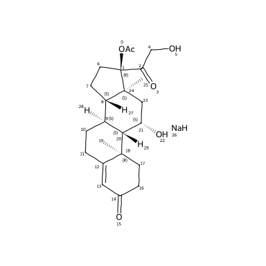 CC(=O)O[C@]1(C(=O)CO)CC[C@H]2[C@@H]3CCC4=CC(=O)CC[C@]4(C)[C@H]3[C@@H](O)C[C@@]21C.[NaH]